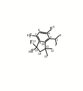 CC(C)c1c(F)cc(F)c2c1C(C)(C)CC2(F)F